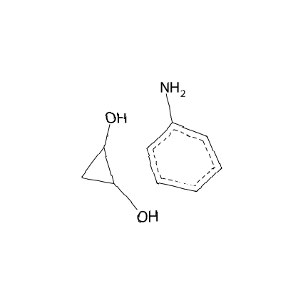 Nc1ccccc1.OC1CC1O